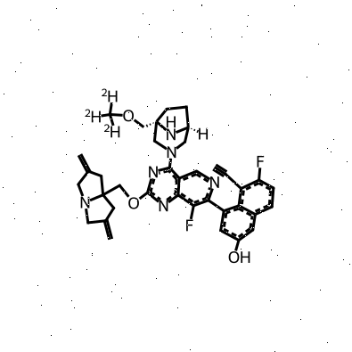 [2H]C([2H])([2H])OC[C@@]12CC[C@@H](CN(c3nc(OCC45CC(=C)CN4CC(=C)C5)nc4c(F)c(-c5cc(O)cc6ccc(F)c(C#C)c56)ncc34)C1)N2